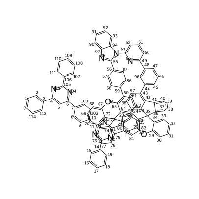 c1ccc(-c2cc(-c3ccc(-c4nc(-c5ccccc5)nc(-c5ccc6c(c5)Oc5ccccc5C65c6ccccc6-c6c(-c7cccc(-c8cccc(-n9c(-c%10ccc(-c%11cccc%12c%11Oc%11ccccc%11C%12%11c%12ccccc%12-c%12ccccc%12%11)cc%10)nc%10ccccc%109)n8)c7)cccc65)n4)cc3)nc(-c3ccccc3)n2)cc1